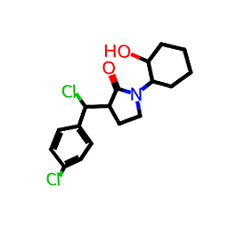 O=C1C(C(Cl)c2ccc(Cl)cc2)CCN1C1CCCCC1O